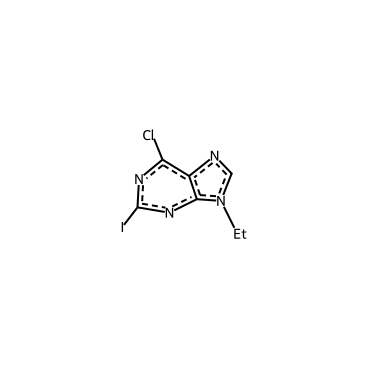 CCn1cnc2c(Cl)nc(I)nc21